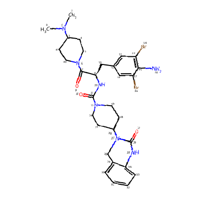 CN(C)C1CCN(C(=O)[C@@H](Cc2cc(Br)c(N)c(Br)c2)NC(=O)N2CCC(N3Cc4ccccc4NC3=O)CC2)CC1